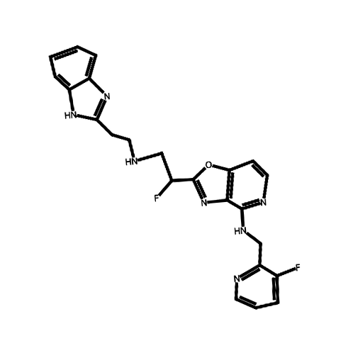 Fc1cccnc1CNc1nccc2oc(C(F)CNCCc3nc4ccccc4[nH]3)nc12